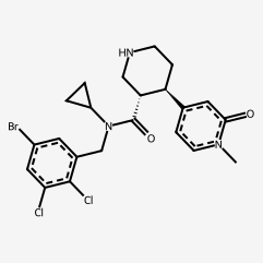 Cn1ccc([C@@H]2CCNC[C@H]2C(=O)N(Cc2cc(Br)cc(Cl)c2Cl)C2CC2)cc1=O